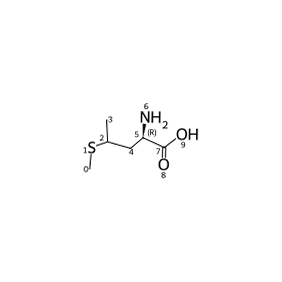 CSC(C)C[C@@H](N)C(=O)O